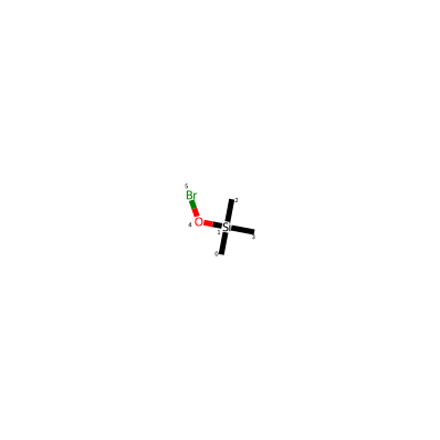 C[Si](C)(C)OBr